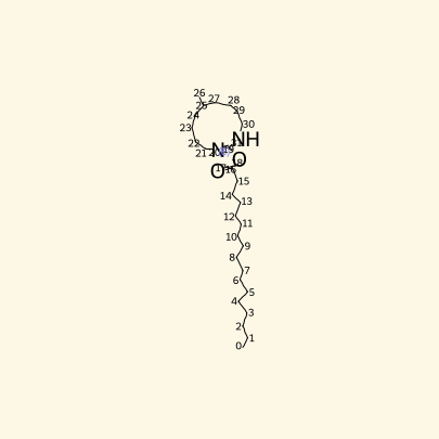 CCCCCCCCCCCCCCCCC(=O)O/C1=N/CCCCC(C)CCCCN1